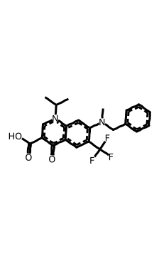 CC(C)n1cc(C(=O)O)c(=O)c2cc(C(F)(F)F)c(N(C)Cc3ccccc3)cc21